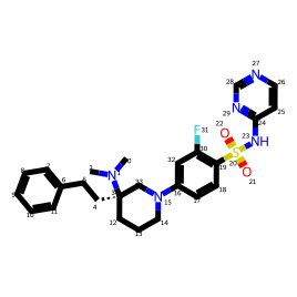 CN(C)[C@]1(CCc2ccccc2)CCCN(c2ccc(S(=O)(=O)Nc3ccncn3)c(F)c2)C1